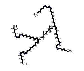 CCCCC/C=C\C/C=C\CCCCCCCCC(CCCCCCCC/C=C\C/C=C\CCCCC)NCCNCCNCCNC(CCCCCCCC/C=C\C/C=C\CCCCC)CCCCCCCC/C=C\C/C=C\CCCCC